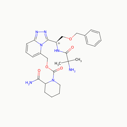 CC(C)(N)C(=O)N[C@H](COCc1ccccc1)c1nnc2cccc(COC(=O)N3CCCCC3C(N)=O)n12